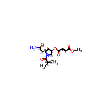 COC(=O)/C=C/C(=O)O[C@@H]1C[C@@H](CC(N)=O)N(C(=O)C(C)C)C1